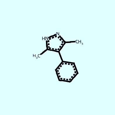 Cc1n[nH]c(C)c1-c1cc[c]cc1